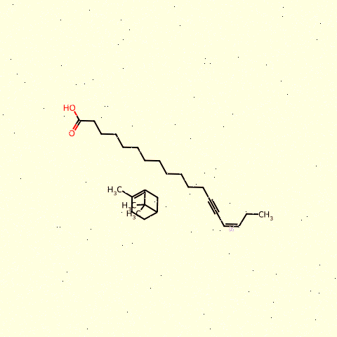 CC/C=C\C#CCCCCCCCCCCCC(=O)O.CC1=C2CC(CC1)C2(C)C